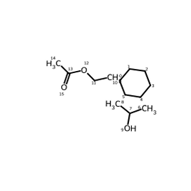 C1CCCCC1.CC(C)O.CCOC(C)=O